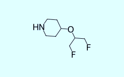 FCC(CF)OC1CCNCC1